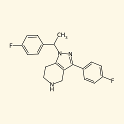 CC(c1ccc(F)cc1)n1nc(-c2ccc(F)cc2)c2c1CCNC2